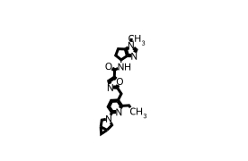 CCc1nc(N2CC3CC3C2)ccc1Cc1ncc(C(=O)N[C@@H]2CCc3c2ncn3C)o1